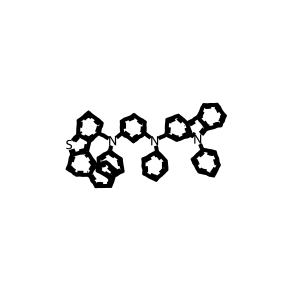 c1ccc(N(c2cccc(N(c3ccccc3)c3cccc4sc5ccc6ccccc6c5c34)c2)c2ccc3c4ccccc4n(-c4ccccc4)c3c2)cc1